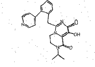 CC(C)N1CCn2c(Cc3ccccc3-c3ccncc3)nc(=O)c(O)c2C1=O